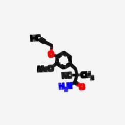 C#CCOc1ccc(CC(C)(C#N)C(N)=O)cc1OC